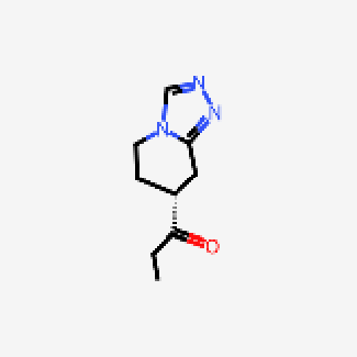 CCC(=O)[C@@H]1CCn2cnnc2C1